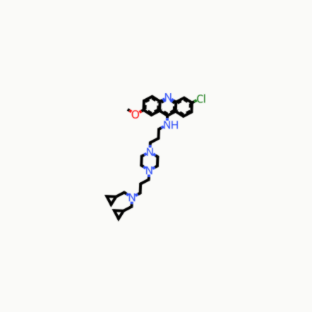 COc1ccc2nc3cc(Cl)ccc3c(NCCCN3CCN(CCCN(CC4CC4)CC4CC4)CC3)c2c1